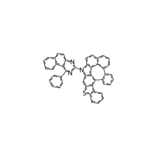 c1ccc(-c2nc(-n3c4cc5sc6ccccc6c5c5c4c4c6c(cccc6ccc43)-c3ccccc3-5)nc3ccc4ccccc4c23)cc1